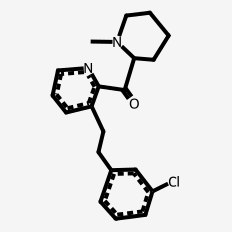 CN1CCCCC1C(=O)c1ncccc1CCc1cccc(Cl)c1